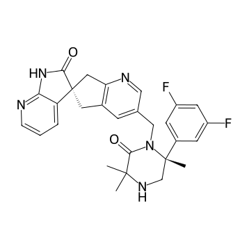 CC1(C)NC[C@@](C)(c2cc(F)cc(F)c2)N(Cc2cnc3c(c2)C[C@@]2(C3)C(=O)Nc3ncccc32)C1=O